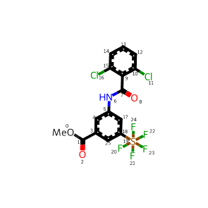 COC(=O)c1cc(NC(=O)c2c(Cl)cccc2Cl)cc(S(F)(F)(F)(F)F)c1